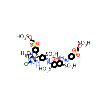 CN(c1cccc(S(=O)(=O)CCOS(=O)(=O)O)c1)c1nc(Cl)nc(Nc2cc(/N=N/c3c(S(=O)(=O)O)cc4cc(S(=O)(=O)O)c(/N=N/c5ccc(S(=O)(=O)CCOS(=O)(=O)O)cc5)c(N)c4c3O)c(S(=O)(=O)O)cc2S(=O)(=O)O)n1